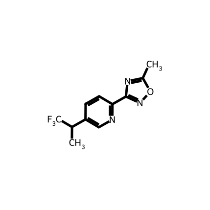 Cc1nc(-c2ccc(C(C)C(F)(F)F)cn2)no1